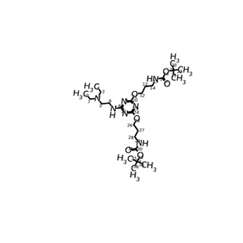 CCN(CC)CCNc1nc(OCCCNC(=O)OC(C)(C)C)nc(OCCCNC(=O)OC(C)(C)C)n1